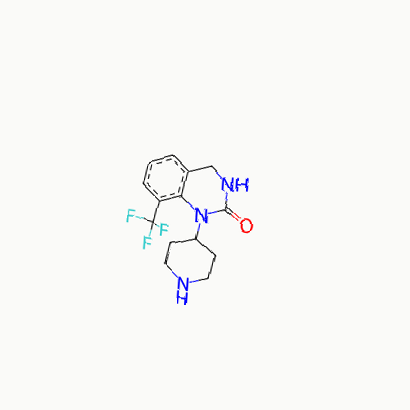 O=C1NCc2cccc(C(F)(F)F)c2N1C1CCNCC1